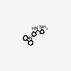 N=C(c1ccc(-n2c3ccccc3c3ccccc32)cc1)c1ccccc1N